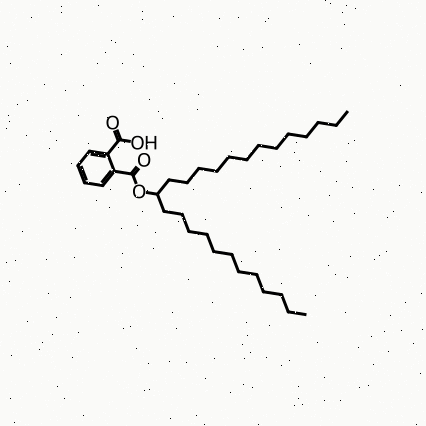 CCCCCCCCCCCCCC(CCCCCCCCCCCC)OC(=O)c1ccccc1C(=O)O